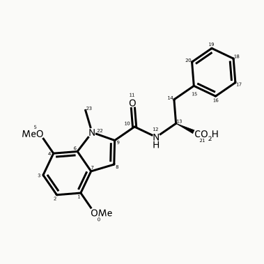 COc1ccc(OC)c2c1cc(C(=O)N[C@@H](Cc1ccccc1)C(=O)O)n2C